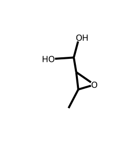 CC1OC1C(O)O